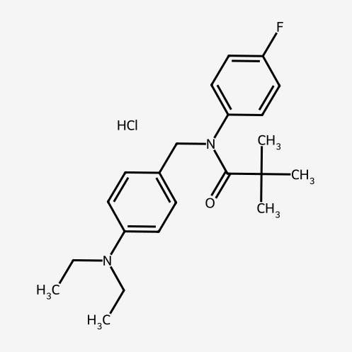 CCN(CC)c1ccc(CN(C(=O)C(C)(C)C)c2ccc(F)cc2)cc1.Cl